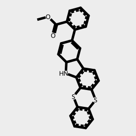 COC(=O)c1ccccc1C1=CC2c3ccc4c(c3NC2C=C1)Sc1ccccc1S4